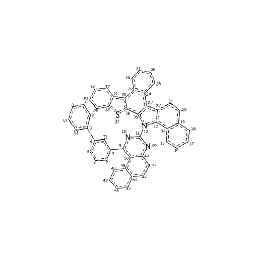 c1ccc(-c2cccc(-c3nc(-n4c5c6ccccc6ccc5c5c6ccccc6c6c7ccccc7sc6c54)nc4ccc5ccccc5c34)c2)cc1